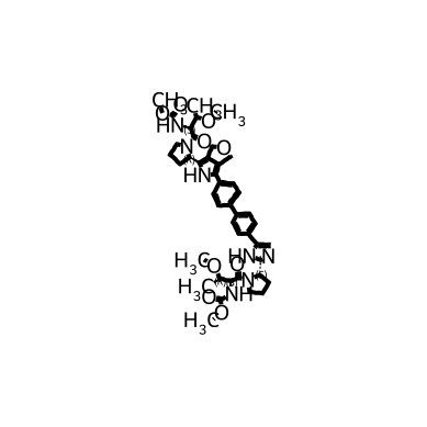 COC(=O)N[C@H](C(=O)N1CCC[C@@H]1c1[nH]c(-c2ccc(-c3ccc(-c4cnc([C@@H]5CCCN5C(=O)[C@@H](NC(=O)OC)[C@@H](C)OC)[nH]4)cc3)cc2)c2c1COC2)C(C)OC